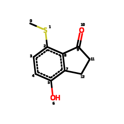 CSc1ccc(O)c2c1C(=O)CC2